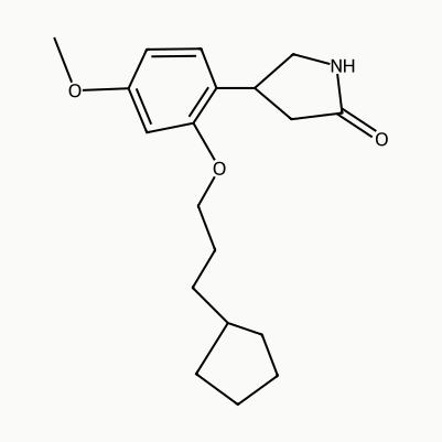 COc1ccc(C2CNC(=O)C2)c(OCCCC2CCCC2)c1